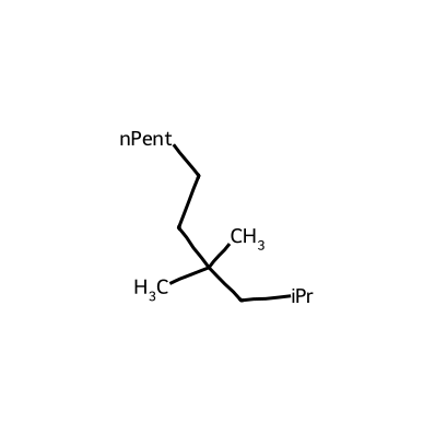 CCCCCCCC(C)(C)CC(C)C